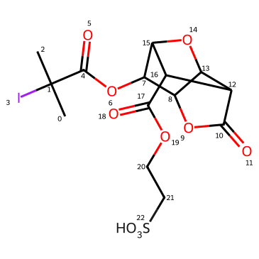 CC(C)(I)C(=O)OC1C2OC(=O)C3C2OC1C3C(=O)OCCS(=O)(=O)O